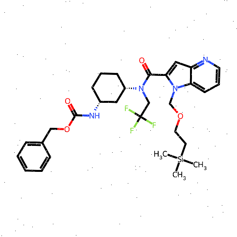 C[Si](C)(C)CCOCn1c(C(=O)N(CC(F)(F)F)[C@H]2CCC[C@@H](NC(=O)OCc3ccccc3)C2)cc2ncccc21